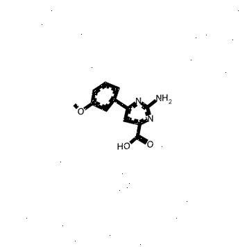 COc1cccc(-c2cc(C(=O)O)nc(N)n2)c1